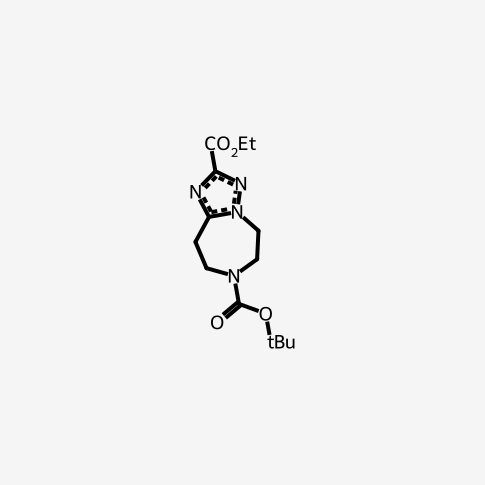 CCOC(=O)c1nc2n(n1)CCN(C(=O)OC(C)(C)C)CC2